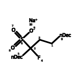 CCCCCCCCCCCCC(F)(CCCCCCCCCC)S(=O)(=O)[O-].[Na+]